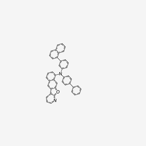 c1ccc(-c2ccc(N(c3cccc(-c4cccc5ccccc45)c3)c3cccc4cc5c(cc34)oc3ncccc35)cc2)cc1